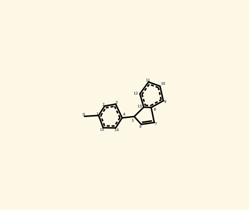 Cc1ccc(C2C=Cc3ccccc32)cc1